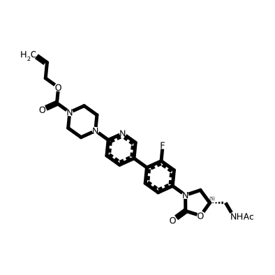 C=CCOC(=O)N1CCN(c2ccc(-c3ccc(N4C[C@H](CNC(C)=O)OC4=O)cc3F)cn2)CC1